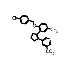 O=C(O)c1cncc(C2=C(c3cc(C(F)(F)F)ccc3OCc3ccc(Cl)cc3)CCC2)c1